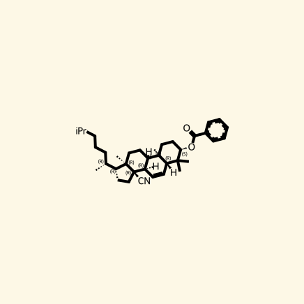 CC(C)CCC[C@@H](C)[C@H]1CC[C@@]2(C#N)[C@@H]3C=C[C@H]4C(C)(C)[C@@H](OC(=O)c5ccccc5)CC[C@]4(C)[C@H]3CC[C@]12C